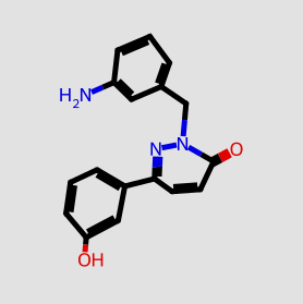 Nc1cccc(Cn2nc(-c3cccc(O)c3)ccc2=O)c1